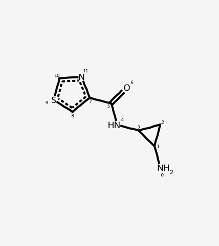 NC1CC1NC(=O)c1cscn1